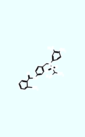 Cc1ccc(N(Cc2ccc(NC(=O)c3ccccc3C)cc2)S(=O)(=O)C(C)C)cc1C